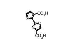 O=C(O)c1coc(-c2sccc2C(=O)O)n1